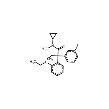 CCOc1ccccc1C(CC)(C(=O)N(C)C1CC1)c1cccc(F)c1